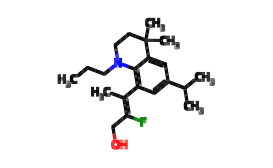 CCCN1CCC(C)(C)c2cc(C(C)C)cc(C(C)=C(F)CO)c21